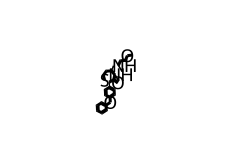 COCCNC[C@@H]1CCS[C@H](c2ccc(Oc3ccccc3)cc2)C(=O)N1